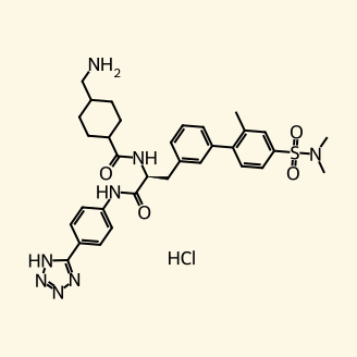 Cc1cc(S(=O)(=O)N(C)C)ccc1-c1cccc(C[C@H](NC(=O)C2CCC(CN)CC2)C(=O)Nc2ccc(-c3nnn[nH]3)cc2)c1.Cl